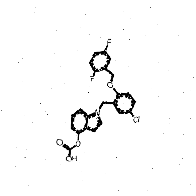 O=C(O)Oc1cccc2c1ccn2Cc1cc(Cl)ccc1OCc1cc(F)ccc1F